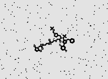 CC(C)(C)OCN1CCC(CN(C(=O)CSCCC(=O)NCCNC(=O)CN2C(=O)C=CC2=O)[C@@H](c2cc(-c3cc(F)ccc3F)cn2Cc2ccccc2)C(C)(C)C)C1